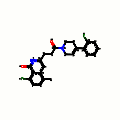 Cc1ccc(F)c2c(=O)[nH]c(CCC(=O)N3CC=C(c4ccccc4F)CC3)cc12